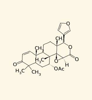 CC(=O)O[C@@H]1CC2C(C)(C)C(=O)C=C[C@]2(C)C2CC[C@]3(C)[C@@H](c4ccoc4)OC(=O)[C@H]4O[C@]43[C@@]21C